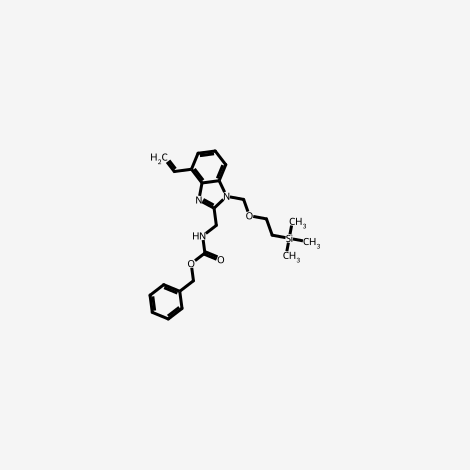 C=Cc1cccc2c1nc(CNC(=O)OCc1ccccc1)n2COCC[Si](C)(C)C